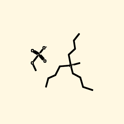 CCCC[N+](C)(CCCC)CCCC.COS(=O)(=O)[O-]